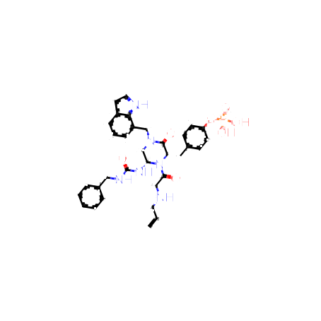 C=CCNCC(=O)N1[C@@H](NC(=O)NCc2ccccc2)CN(Cc2cccc3cc[nH]c23)C(=O)[C@@H]1Cc1ccc(OP(=O)(O)O)cc1